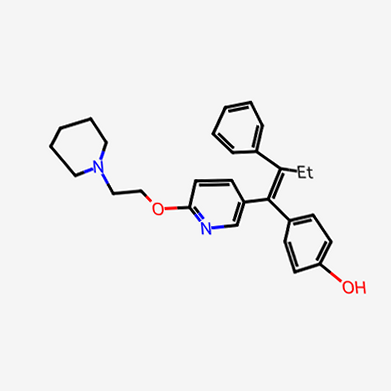 CC/C(=C(\c1ccc(O)cc1)c1ccc(OCCN2CCCCC2)nc1)c1ccccc1